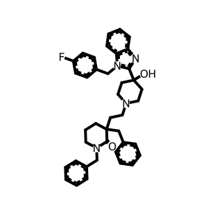 O=C1N(Cc2ccccc2)CCCC1(CCN1CCC(O)(c2nc3ccccc3n2Cc2ccc(F)cc2)CC1)Cc1ccccc1